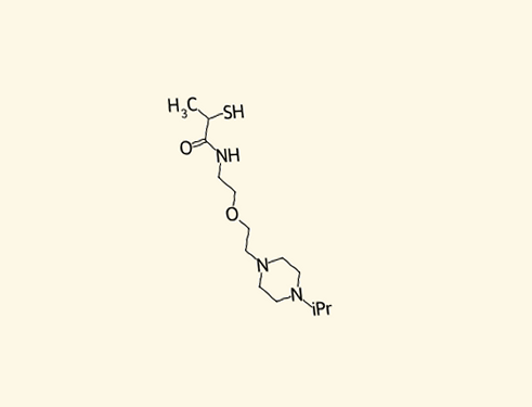 CC(S)C(=O)NCCOCCN1CCN(C(C)C)CC1